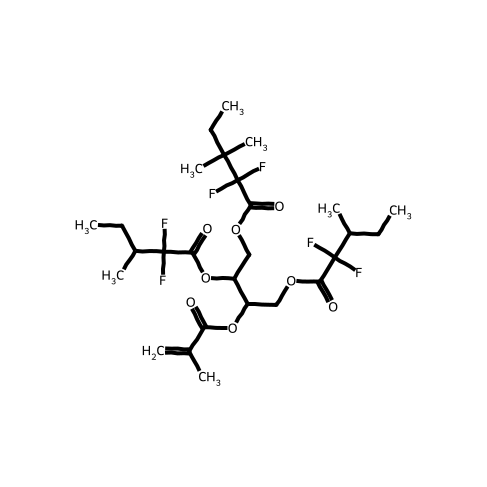 C=C(C)C(=O)OC(COC(=O)C(F)(F)C(C)CC)C(COC(=O)C(F)(F)C(C)(C)CC)OC(=O)C(F)(F)C(C)CC